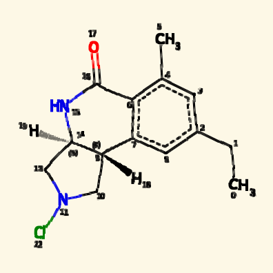 CCc1cc(C)c2c(c1)[C@@H]1CN(Cl)C[C@H]1NC2=O